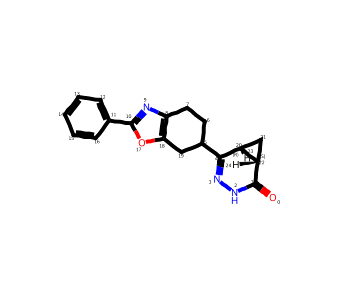 O=C1NN=C(C2CCc3nc(-c4ccccc4)oc3C2)[C@@H]2C[C@H]12